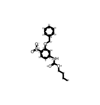 CCCCOC(=O)Nc1ccc([N+](=O)[O-])c(OCc2ccccc2)c1